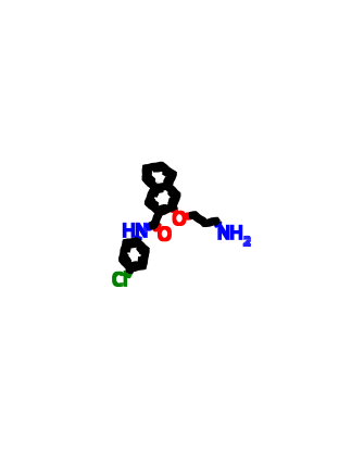 NCCCOc1cc2ccccc2cc1C(=O)Nc1ccc(Cl)cc1